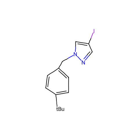 CC(C)(C)c1ccc(Cn2cc(I)cn2)cc1